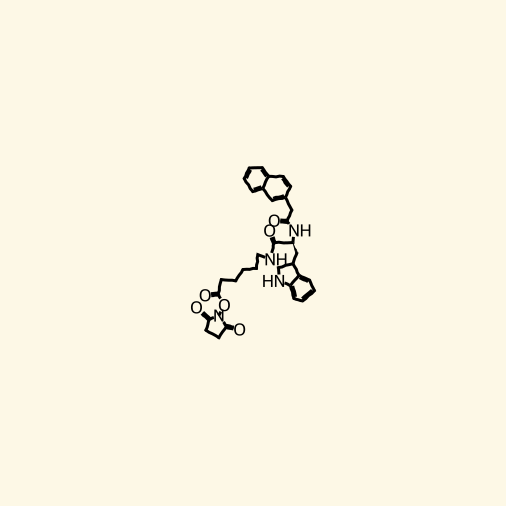 O=C(Cc1ccc2ccccc2c1)N[C@@H](CC1CNc2ccccc21)C(=O)NCCCCCC(=O)ON1C(=O)CCC1=O